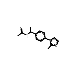 CC(=O)NC(C)c1ccc(-n2ccnc2C)cc1